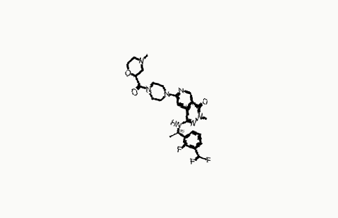 C[C@@H](Nc1nn(C)c(=O)c2cnc(N3CCN(C(=O)C4CN(C)CCO4)CC3)cc12)c1cccc(C(F)F)c1F